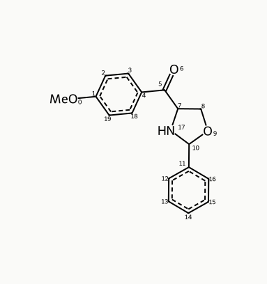 COc1ccc(C(=O)C2COC(c3ccccc3)N2)cc1